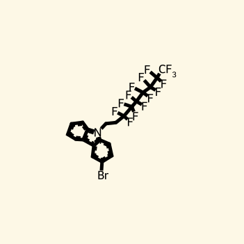 FC(F)(F)C(F)(F)C(F)(F)C(F)(F)C(F)(F)C(F)(F)C(F)(F)CCn1c2ccccc2c2cc(Br)ccc21